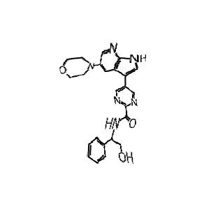 O=C(NC(CO)c1ccccc1)c1ncc(-c2c[nH]c3ncc(N4CCOCC4)cc23)cn1